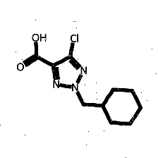 O=C(O)c1nn(CC2CCCCC2)nc1Cl